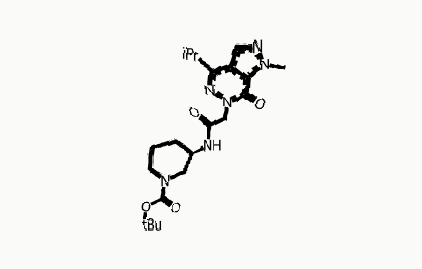 CC(C)c1nn(CC(=O)N[C@@H]2CCCN(C(=O)OC(C)(C)C)C2)c(=O)c2c1cnn2C